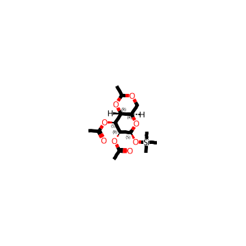 CC(=O)O[C@@H]1[C@@H](OC(C)=O)[C@H](O[Si](C)(C)C)O[C@@H]2COC(C)O[C@@H]12